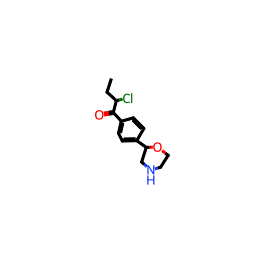 CCC(Cl)C(=O)c1ccc(C2CNCCO2)cc1